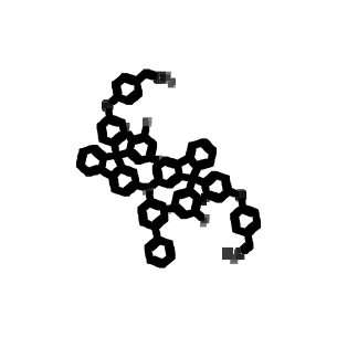 C=Cc1ccc(Oc2ccc(C3(c4cc(F)cc(F)c4F)c4ccccc4-c4ccc(N(c5ccc(-c6ccccc6)cc5)c5ccc6c(c5)C(c5ccc(Oc7ccc(C=C)cc7)cc5)(c5cc(F)cc(F)c5F)c5ccccc5-6)cc43)cc2)cc1